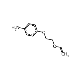 C=COCCOc1ccc(N)cc1